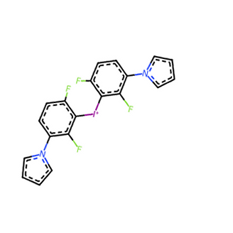 Fc1ccc(-n2cccc2)c(F)c1[I+]c1c(F)ccc(-n2cccc2)c1F